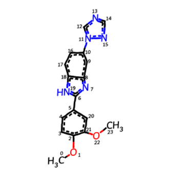 COc1ccc(-c2nc3cc(-n4cncn4)ccc3[nH]2)cc1OC